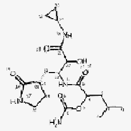 CC(C)CC(OC(N)=O)C(=O)NC(C[C@@H]1CCNC1=O)C(O)C(=O)NC1CC1